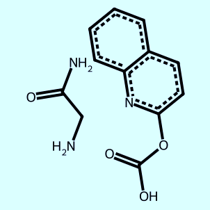 NCC(N)=O.O=C(O)Oc1ccc2ccccc2n1